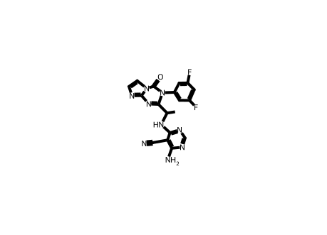 CC(Nc1ncnc(N)c1C#N)c1nc2nccn2c(=O)n1-c1cc(F)cc(F)c1